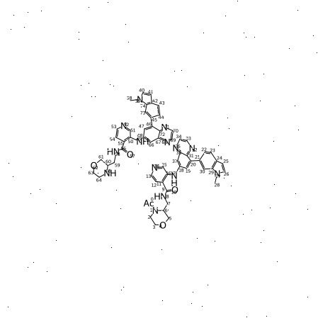 CC(=O)N1CCOCC1CNC(=O)c1ccncc1Nc1cc(-c2ccc3ccn(C)c3c2)c2nccnc2c1.Cn1ccc2ccc(-c3cc(Nc4cnccc4C(=O)NCC4COCCN4)cc4nccnc34)cc21